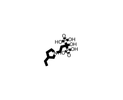 CCC1CCN(CCC(O)(P(=O)(O)O)P(=O)(O)O)C1